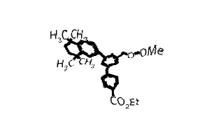 CCOC(=O)c1ccc(-c2cc(COCOC)cc(-c3ccc4c(c3)C(C)(C)CCC4(C)C)c2)cc1